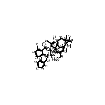 CC1=C[C@]23C(=O)[C@@H](C=C(CO)[C@@H](O)[C@]2(O)[C@H]1OC(=O)c1c(C)cccc1NCc1ccccc1)[C@H]1[C@@H](C[C@H]3C)C1(C)C